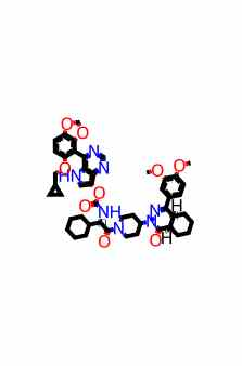 COc1ccc(C2=NN(C3CCN(C(=O)[C@@H](NC(=O)Oc4c[nH]c5c(-c6c(OCC7CC7)ccc7c6OCO7)ncnc45)C4CCCCC4)CC3)C(=O)[C@@H]3CCCC[C@H]23)cc1OC